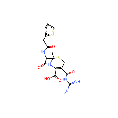 N=C(N)NC(=O)C1=C(C(=O)O)N2C(=O)C(NC(=O)Cc3cccs3)[C@@H]2SC1